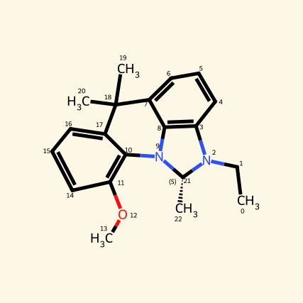 CCN1c2cccc3c2N(c2c(OC)cccc2C3(C)C)[C@H]1C